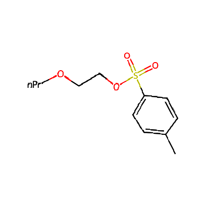 CCCOCCOS(=O)(=O)c1ccc(C)cc1